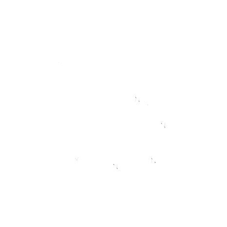 Nc1ncnc2c1c(-c1ccc(Oc3ccccc3)cc1)c(Br)n2C1CCCC1